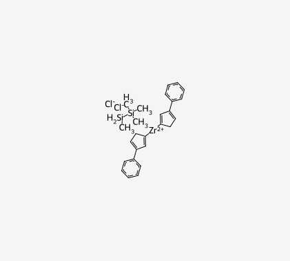 C1=[C]([Zr+2][C]2=CC(c3ccccc3)=CC2)CC=C1c1ccccc1.C[SiH2][Si](C)(C)C.[Cl-].[Cl-]